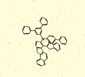 c1ccc(-c2ccc(N(c3cc(-c4ccccc4)cc(-c4ccccc4)c3)c3ccc4c(c3C3=Nc5ccccc5C3)-c3ccc5ccccc5c3C4)cc2)cc1